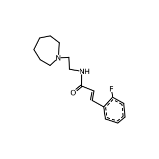 O=C(C=Cc1ccccc1F)NCCN1CCCCCC1